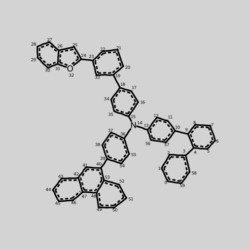 c1ccc(-c2ccccc2-c2ccc(N(c3ccc(-c4cccc(-c5cc6ccccc6o5)c4)cc3)c3ccc(-c4cc5ccccc5c5ccccc45)cc3)cc2)cc1